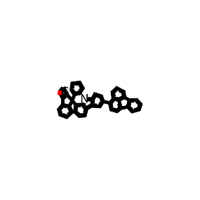 c1ccc2c(c1)-c1cccc3c(-c4ccc5c(c4)c4cccc6c4n5-c4ccccc4C64c5ccccc5-c5ccccc54)ccc-2c13